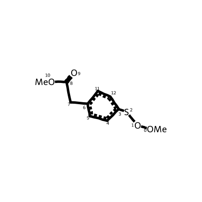 COOSc1ccc(CC(=O)OC)cc1